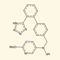 CCCN(Cc1ccc(-c2ccccc2-c2nnn[nH]2)cc1)c1ccc(OC)nc1